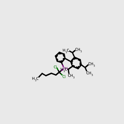 CCCCCC(Cl)(Cl)Pc1ccccc1-c1c(C(C)C)cc(C(C)C)cc1C(C)C